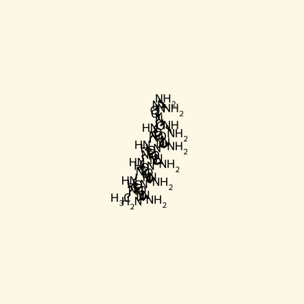 CCCN(CC(=O)NCCN(CC(=O)NCCN(CC(=O)NCCN(CC(=O)NCCN(CC(=O)NCCN)C(=O)Cn1c(N)cc(N)nc1=O)C(=O)Cn1c(N)cc(N)nc1=O)C(=O)Cn1c(N)cc(N)nc1=O)C(=O)Cn1c(N)cc(N)nc1=O)C(=O)Cn1c(N)cc(N)nc1=O